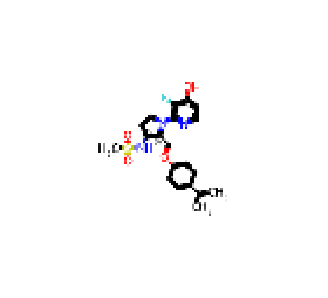 CC(C)[C@H]1CC[C@@H](OC[C@H]2[C@@H](NS(C)(=O)=O)CCN2c2nccc(O)c2F)CC1